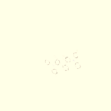 CS1(C)c2ccc(N(c3ccccc3)c3ccc(F)cc3)cc2-c2ccccc2-c2cc(N(c3ccccc3)c3ccc(F)cc3)ccc21